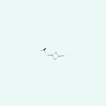 COC1CC(OC(N)=O)C1